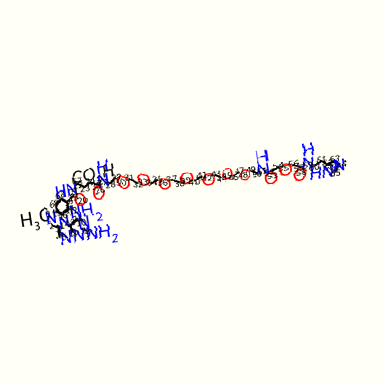 CN(Cc1cnc2nc(N)nc(N)c2n1)c1ccc(C(=O)N[C@@H](CCC(=O)NCCOCCOCCOCCOCCOCCOCCOCCNC(=O)COCC(=O)NCCc2cnc[nH]2)C(=O)O)cc1